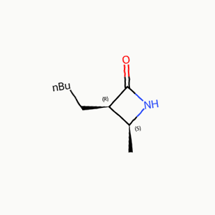 CCCCC[C@H]1C(=O)N[C@H]1C